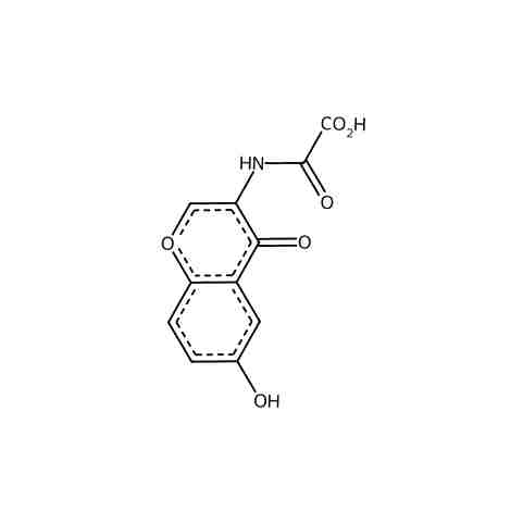 O=C(O)C(=O)Nc1coc2ccc(O)cc2c1=O